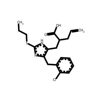 C=CCC(Cc1[nH]c(SCCC)nc1Cc1ccccc1Cl)C(=O)O